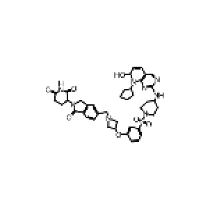 O=C1CCC(N2Cc3cc(CN4CC(Oc5cccc(S(=O)(=O)N6CCC(Nc7ncc8c(n7)N(C7CCCC7)C(O)C=C8)CC6)c5)C4)ccc3C2=O)C(=O)N1